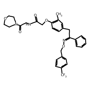 Cc1cc(CC(=NOCc2ccc(C(F)(F)F)cc2)c2ccccc2)ccc1OCC(=O)NCC(=O)N1CCOCC1